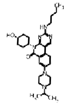 CCCCNc1ncc2c3ccc(N4CCN(C(C)C)CC4)cc3c(=O)n([C@H]3CC[C@H](O)CC3)c2n1